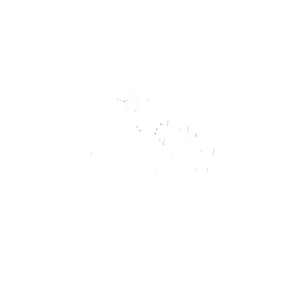 CCCC1CC[C@@H](C(=O)N[C@@H]([C@H]2O[C@H](SC)[C@H](O)[C@@H](O)[C@H]2O)[C@H](C)Cl)N(Cc2oc(=O)oc2C)CC1